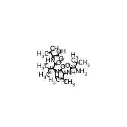 CC(C)C(N)C(=O)NC(C(=O)NC(C(=O)NC(C(=O)O)C(C)C)C(C)C)C(C)C